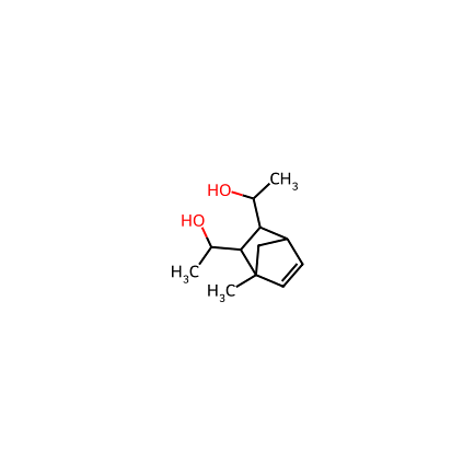 CC(O)C1C2C=CC(C)(C2)C1C(C)O